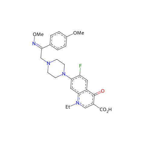 CCn1cc(C(=O)O)c(=O)c2cc(F)c(N3CCN(C/C(=N/OC)c4ccc(OC)cc4)CC3)cc21